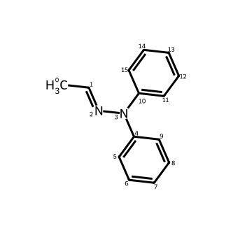 CC=NN(c1ccccc1)c1ccccc1